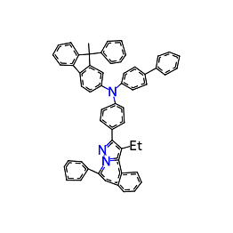 CCc1c(-c2ccc(N(c3ccc(-c4ccccc4)cc3)c3ccc4c(c3)C(C)(c3ccccc3)c3ccccc3-4)cc2)nn2c(-c3ccccc3)cc3ccccc3c12